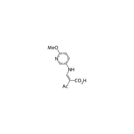 COc1ccc(NC=C(C(C)=O)C(=O)O)cn1